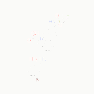 CC(Cc1ccc2c(c1)cc(C(=O)O)n2Cc1cccc(NS(=O)(=O)C(F)(F)F)c1)NCC(O)c1cccc(Br)c1